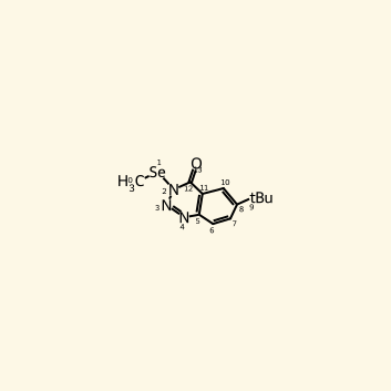 C[Se]n1nnc2ccc(C(C)(C)C)cc2c1=O